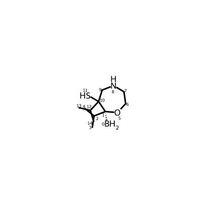 B[C@@]1(C(C)C)OCCNCC1(S)C(C)C